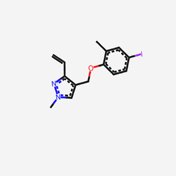 C=Cc1nn(C)cc1COc1ccc(I)cc1C